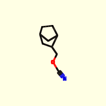 N#COCC1CC2CCC1C2